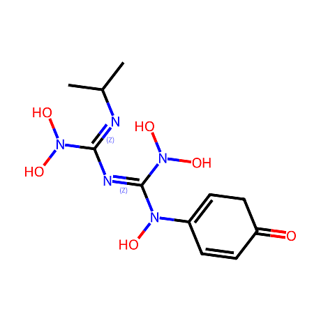 CC(C)/N=C(/N=C(\N(O)O)N(O)C1=CCC(=O)C=C1)N(O)O